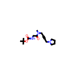 CN(CC#CCN1CCCC1)C(=O)CNC(=O)OC(C)(C)C